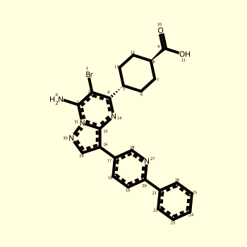 Nc1c(Br)c([C@H]2CC[C@H](C(=O)O)CC2)nc2c(-c3ccc(-c4ccccc4)nc3)cnn12